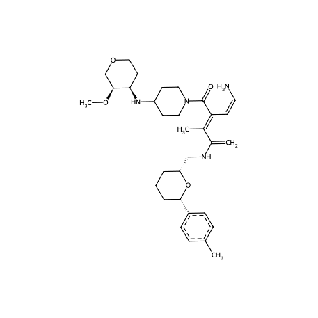 C=C(NC[C@H]1CCC[C@@H](c2ccc(C)cc2)O1)/C(C)=C(\C=C/N)C(=O)N1CCC(N[C@@H]2CCOC[C@@H]2OC)CC1